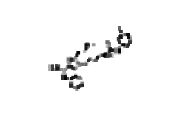 COCCc1nc2c(N)nc3ccccc3c2n1CCCCNC(=O)Nc1cccc(C)c1